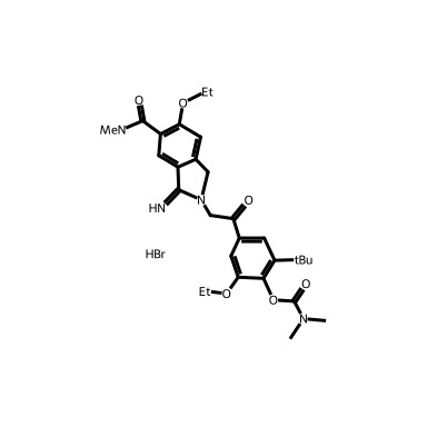 Br.CCOc1cc2c(cc1C(=O)NC)C(=N)N(CC(=O)c1cc(OCC)c(OC(=O)N(C)C)c(C(C)(C)C)c1)C2